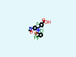 CC(=O)N(C)c1ccc2c(-c3ccc(C(=O)O)cc3F)nn(C(=O)c3c(Cl)cccc3C(F)(F)F)c2c1